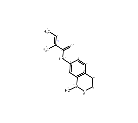 C/C=C(\C)C(=O)Nc1ccc2c(c1)B(O)OCC2